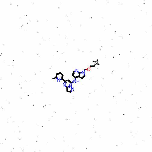 Cc1cccc(-c2cc(Nc3ccnc4c3ccn4COCC[Si](C)(C)C)n3nccc3n2)n1